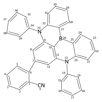 N#Cc1ccccc1-c1cc2c3c(c1)N(c1ccccc1)c1ccccc1B3c1ccccc1N2c1ccccc1